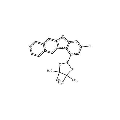 CC1(C)OB(c2cc(Cl)cc3oc4cc5cnccc5cc4c23)OC1(C)C